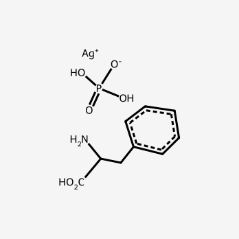 NC(Cc1ccccc1)C(=O)O.O=P([O-])(O)O.[Ag+]